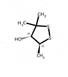 C[C@@H]1SSC(C)(C)[C@H]1O